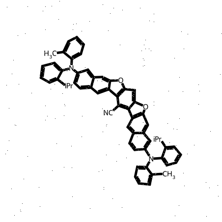 Cc1ccccc1N(c1ccc2cc3c(cc2c1)oc1cc2oc4cc5cc(N(c6ccccc6C)c6ccccc6C(C)C)ccc5cc4c2c(C#N)c13)c1ccccc1C(C)C